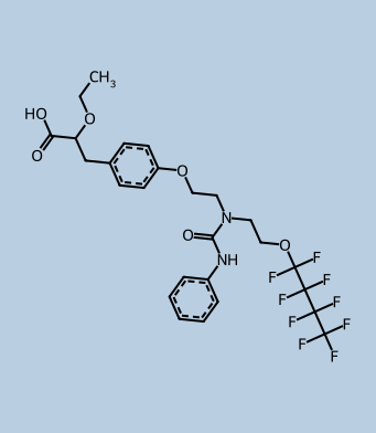 CCOC(Cc1ccc(OCCN(CCOC(F)(F)C(F)(F)C(F)(F)C(F)(F)F)C(=O)Nc2ccccc2)cc1)C(=O)O